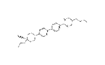 CCCCC1CSC(c2ccc(-c3ccc(C4CCC(C#N)(CCC)CC4)cc3)cc2)SC1